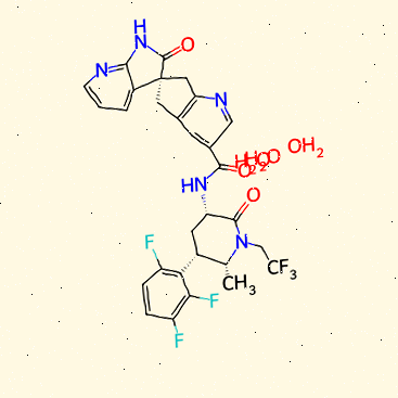 C[C@@H]1[C@H](c2c(F)ccc(F)c2F)C[C@H](NC(=O)c2cnc3c(c2)C[C@@]2(C3)C(=O)Nc3ncccc32)C(=O)N1CC(F)(F)F.O.O.O